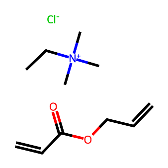 C=CCOC(=O)C=C.CC[N+](C)(C)C.[Cl-]